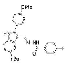 CCCCc1ccc2[nH]c(-c3ccc(OC)cc3)c(C=NNC(=O)c3ccc(F)cc3)c2c1